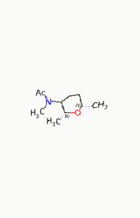 CC(=O)N(C)C1CC[C@H](C)O[C@@H]1C